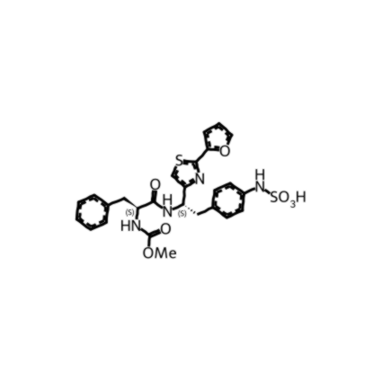 COC(=O)N[C@@H](Cc1ccccc1)C(=O)N[C@@H](Cc1ccc(NS(=O)(=O)O)cc1)c1csc(-c2ccco2)n1